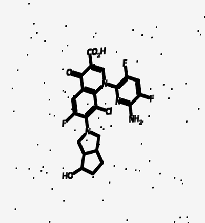 Nc1nc(-n2cc(C(=O)O)c(=O)c3cc(F)c(N4CC5CCC(O)C5C4)c(Cl)c32)c(F)cc1F